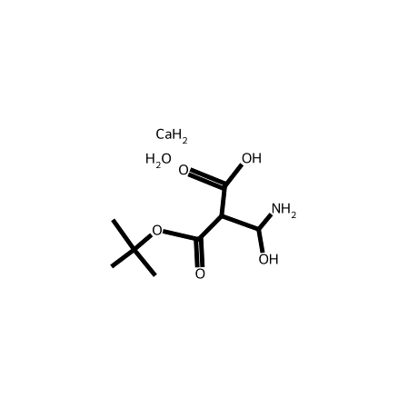 CC(C)(C)OC(=O)C(C(=O)O)C(N)O.O.[CaH2]